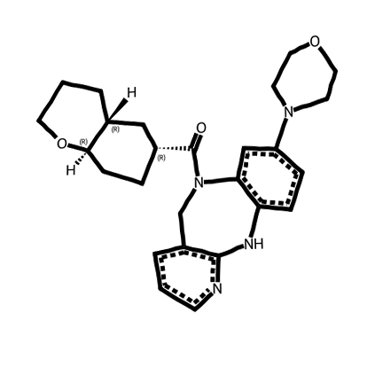 O=C([C@@H]1CC[C@H]2OCCC[C@@H]2C1)N1Cc2cccnc2Nc2ccc(N3CCOCC3)cc21